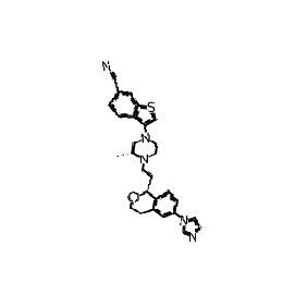 C[C@@H]1CN(c2csc3cc(C#N)ccc23)CCN1CC[C@@H]1OCCc2cc(-n3ccnc3)ccc21